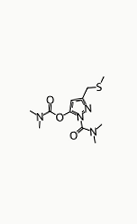 CSCc1cc(OC(=O)N(C)C)n(C(=O)N(C)C)n1